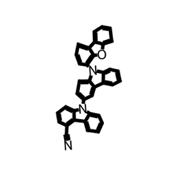 N#Cc1cccc2c1c1ccccc1n2-c1ccc2c(c1)c1ccccc1n2-c1cccc2c1oc1ccccc12